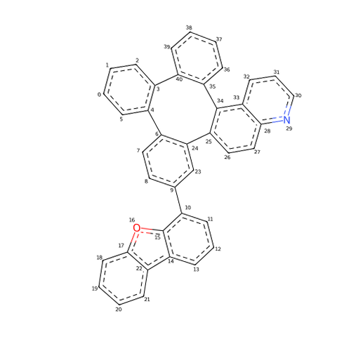 c1ccc2c(c1)-c1ccc(-c3cccc4c3oc3ccccc34)cc1-c1ccc3ncccc3c1-c1ccccc1-2